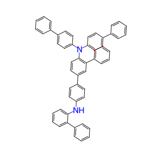 c1ccc(-c2ccc(N(c3ccc(-c4ccccc4)cc3)c3ccc(-c4ccc(Nc5ccccc5-c5ccccc5)cc4)cc3-c3ccccc3)cc2)cc1